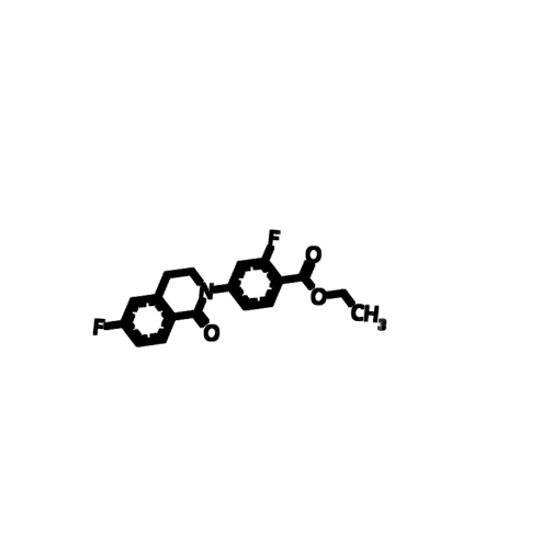 CCOC(=O)c1ccc(N2CCc3cc(F)ccc3C2=O)cc1F